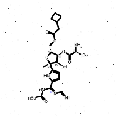 CCCCC(=O)N/C(=N/C=N)c1ccc([C@]2(C)O[C@H](COC(=O)CC3CCC3)[C@@H](OC(=O)[C@@H](N)C(C)(C)C)[C@H]2O)[nH]1